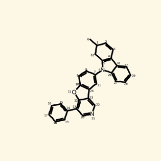 CC1C=Cc2c(n(-c3ccc4oc5c(-c6ccccc6)cncc5c4c3)c3ccccc23)C1